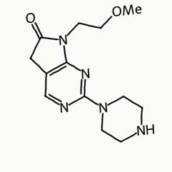 COCCN1C(=O)Cc2cnc(N3CCNCC3)nc21